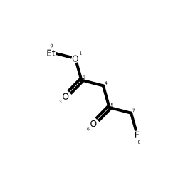 CCOC(=O)CC(=O)CF